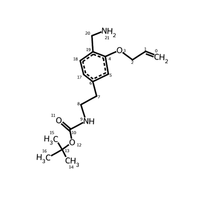 C=CCOc1cc(CCNC(=O)OC(C)(C)C)ccc1CN